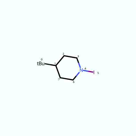 CC(C)(C)C1CCN(I)CC1